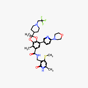 CSc1cc(C)[nH]c(=O)c1CNC(=O)c1cc(-c2ccc(N3CCOCC3)nc2)c2c(c1C)O[C@](C)(C1CCN(CC(F)(F)F)CC1)O2